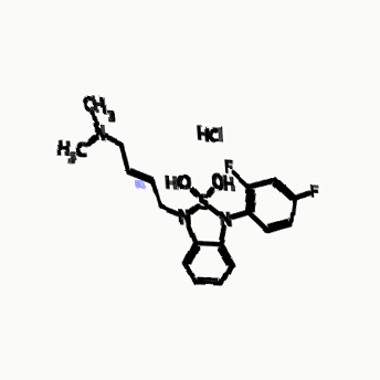 CN(C)C/C=C/CN1c2ccccc2N(c2ccc(F)cc2F)S1(O)O.Cl